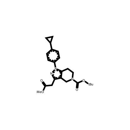 COC(=O)Cc1nn(-c2ccc(C3CC3)cc2)c2c1CN(C(=O)OC(C)(C)C)CC2